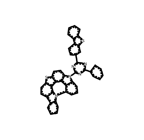 c1ccc(-c2nc(-c3ccc4c(c3)sc3ccccc34)nc(-n3c4ccc5sc6ccc7c8ccccc8n8c9cccc3c9c4c5c6c78)n2)cc1